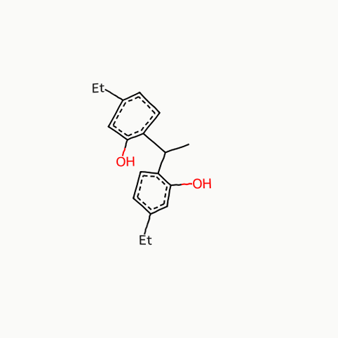 CCc1ccc(C(C)c2ccc(CC)cc2O)c(O)c1